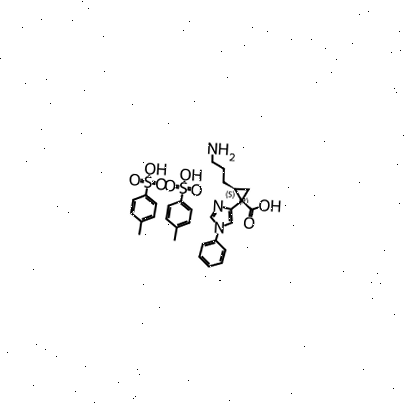 Cc1ccc(S(=O)(=O)O)cc1.Cc1ccc(S(=O)(=O)O)cc1.NCCC[C@H]1C[C@]1(C(=O)O)c1cn(-c2ccccc2)cn1